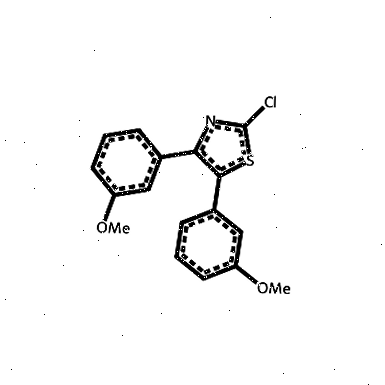 COc1cccc(-c2nc(Cl)sc2-c2cccc(OC)c2)c1